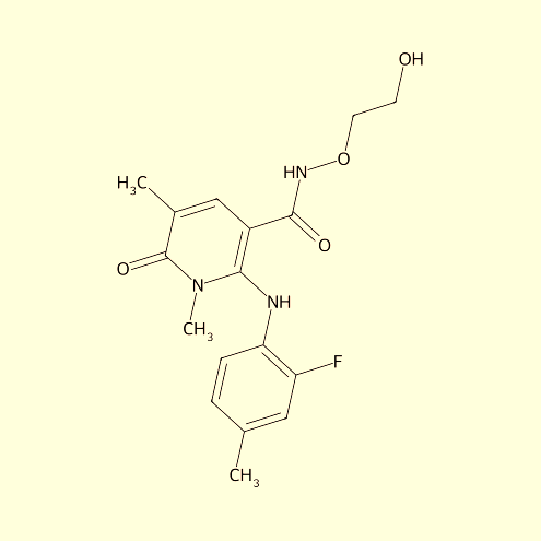 Cc1ccc(Nc2c(C(=O)NOCCO)cc(C)c(=O)n2C)c(F)c1